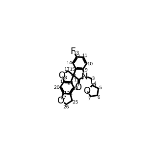 O=C1N(C[C@H]2CCCO2)c2ccc(F)cc2C12COc1cc3c(cc12)CCO3